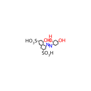 O=S(=O)(O)c1cc(O)c2c(N=Nc3ccc(O)cc3O)cc(S(=O)(=O)O)cc2c1